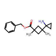 CC1(C(=O)OCc2ccccc2)CC(C)(C2(N)CC2)C1